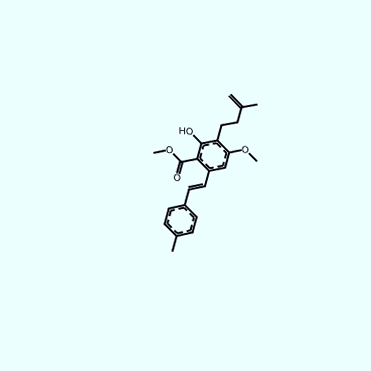 C=C(C)CCc1c(OC)cc(C=Cc2ccc(C)cc2)c(C(=O)OC)c1O